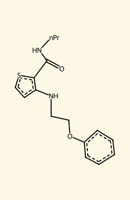 CCCNC(=O)c1sccc1NCCOc1ccccc1